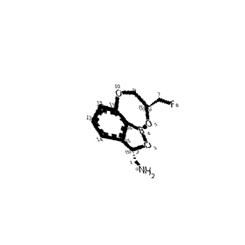 NC[C@H]1OB2O[C@H](CF)COc3cccc1c32